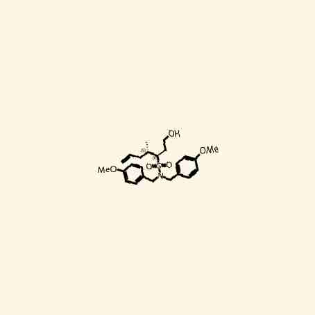 C=CC[C@H](C)[C@@H](CCO)S(=O)(=O)N(Cc1ccc(OC)cc1)Cc1ccc(OC)cc1